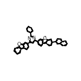 c1ccc(-c2nc(-c3ccc4c(c3)oc3ccccc34)cc(-c3ccc4c(c3)oc3cc(-c5ccc6ccccc6c5)ccc34)n2)cc1